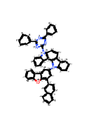 c1ccc(-c2nc(-c3ccccc3)nc(-n3c4ccccc4c4c3ccc3c5ccccc5n(-c5cc(-c6ccc7ccccc7c6)c6oc7ccccc7c6c5)c34)n2)cc1